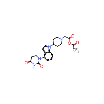 O=C1CCN(c2cccc3c2ccn3C2CCN(CC(=O)OC(=O)C(F)(F)F)CC2)C(=O)N1